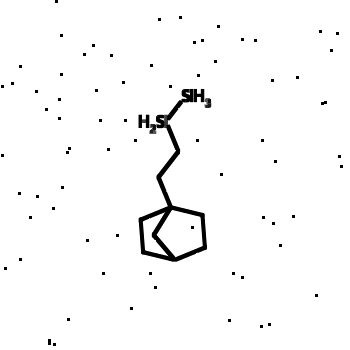 [SiH3][SiH2]CCC12CCC(CC1)C2